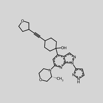 C[C@@H]1COCCN1c1cc(C2(O)CCC(C#CC3CCOC3)CC2)c2cnn(-c3cc[nH]n3)c2n1